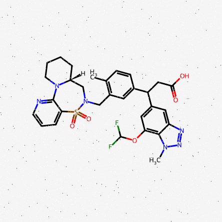 Cc1ccc(C(CC(=O)O)c2cc(OC(F)F)c3c(c2)nnn3C)cc1CN1C[C@H]2CCCCN2c2ncccc2S1(=O)=O